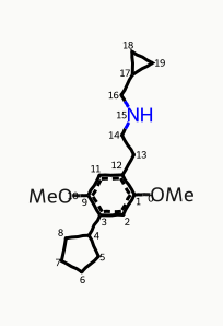 COc1cc(C2CCCC2)c(OC)cc1CCNCC1CC1